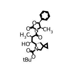 C[C@@H]1[C@H](c2ccccc2)OC(=O)N1C(=O)[C@H](C)[C@@H](O)[C@@H]1CC2(CC2)CN1C(=O)OC(C)(C)C